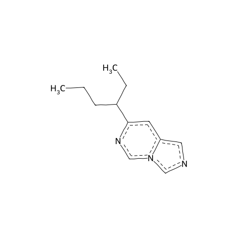 CCCC(CC)c1cc2cncn2cn1